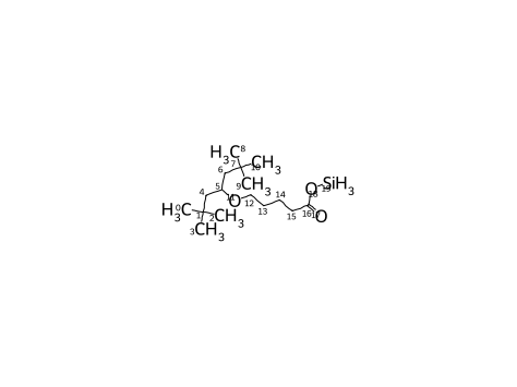 CC(C)(C)CC(CC(C)(C)C)OCCCCC(=O)O[SiH3]